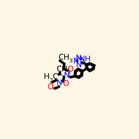 CCCCC(=O)N(Cc1ccc(-c2ccccc2-c2nnn[nH]2)cc1)[C@H](C(=O)N1CCOCC1)C(C)C